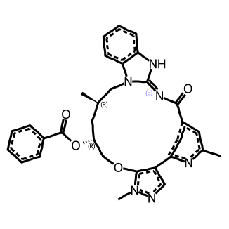 Cc1cc2cc(n1)-c1cnn(C)c1OC[C@H](OC(=O)c1ccccc1)C[C@@H](C)CN1/C(=N/C2=O)Nc2ccccc21